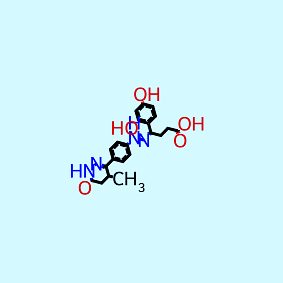 CC1CC(=O)NN=C1c1ccc(NN=C(CCC(=O)O)c2ccc(O)cc2O)cc1